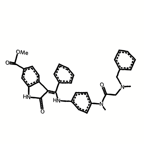 COC(=O)c1ccc2c(c1)NC(=O)/C2=C(\Nc1ccc(N(C)C(=O)CN(C)Cc2ccccc2)cc1)c1ccccc1